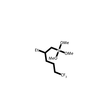 CCC(CCCC(F)(F)F)C[Si](OC)(OC)OC